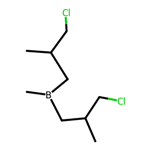 CB(CC(C)CCl)CC(C)CCl